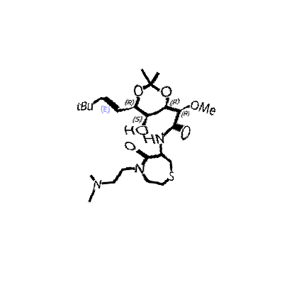 CO[C@@H](C(=O)NC1CSCCN(CCN(C)C)C1=O)[C@@H]1OC(C)(C)O[C@H](/C=C/C(C)(C)C)[C@@H]1O